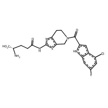 N[C@@H](CCC(=O)Nc1nc2c(s1)CN(C(=O)c1cc3c(Cl)cc(F)cc3[nH]1)CC2)C(=O)O